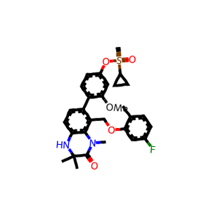 C=S(=O)(Oc1ccc(-c2ccc3c(c2COc2cc(F)ccc2C)N(C)C(=O)C(C)(C)N3)c(OC)c1)C1CC1